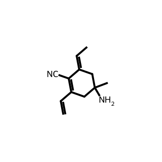 C=CC1=C(C#N)/C(=C/C)CC(C)(N)C1